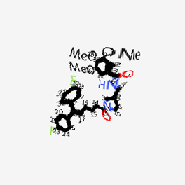 COc1cc(C(=O)NCC2CCN(C(=O)CCCCC(c3ccc(F)cc3)c3ccc(F)cc3)C2)cc(OC)c1OC